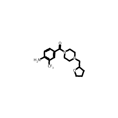 Nc1ccc(C(=O)N2CCN(CC3CCCO3)CC2)cc1C(F)(F)F